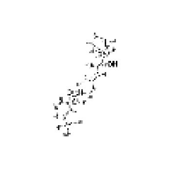 O=C(NC1CCN(S(=O)(=O)c2cccc(C(F)(F)F)c2)CC1)C(O)C12CC3CC(CC(C3)C1)C2